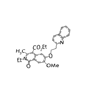 CCOC(=O)c1c(C)n(CC)c(=O)c2cc(OC)c(OCCc3ccc4ccccc4n3)cc12